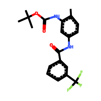 Cc1ccc(NC(=O)c2cccc(C(F)(F)F)c2)cc1NC(=O)OC(C)(C)C